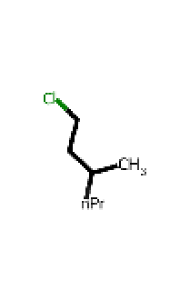 CCCC(C)CCCl